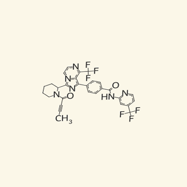 CC#CC(=O)N1CCCCC1c1nc(-c2ccc(C(=O)Nc3cc(C(F)(F)F)ccn3)cc2)c2c(C(F)(F)F)nccn12